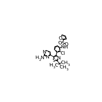 CC(C)(C)c1nc(-c2cccc(NS(=O)(=O)c3ccco3)c2Cl)c(-c2ccnc(N)n2)s1